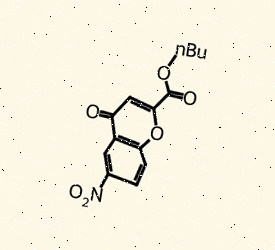 CCCCOC(=O)c1cc(=O)c2cc([N+](=O)[O-])ccc2o1